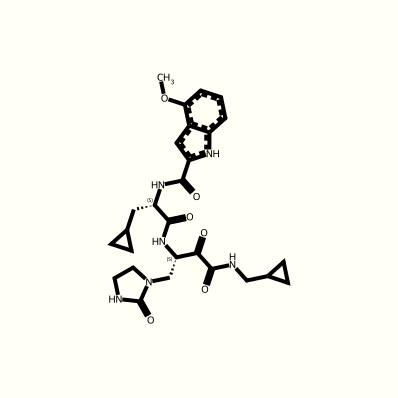 COc1cccc2[nH]c(C(=O)N[C@@H](CC3CC3)C(=O)N[C@@H](CN3CCNC3=O)C(=O)C(=O)NCC3CC3)cc12